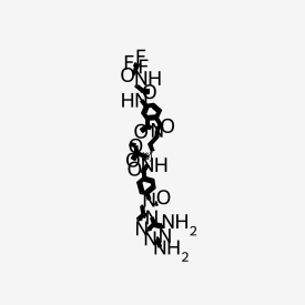 COC(=O)[C@H](CCCN1C(=O)c2ccc(NC(=O)CNC(=O)C(F)(F)F)cc2C1=O)NC(=O)c1ccc(N(C=O)Cc2cnc3nc(N)nc(N)c3n2)cc1